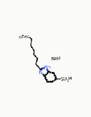 CCCCCCCCCCCCCCCCc1nc2ccc(S(=O)(=O)O)cc2[nH]1.[NaH]